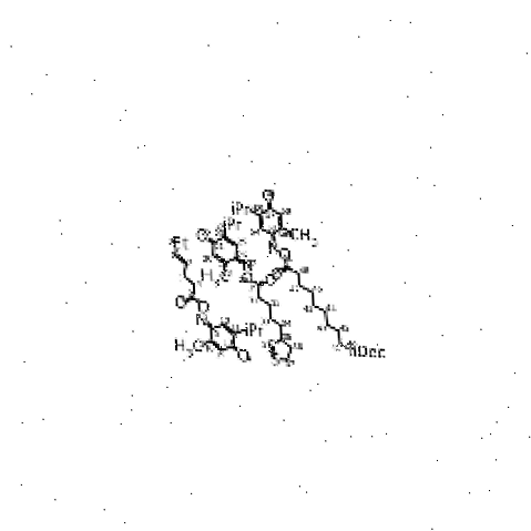 CC/C=C/CCC(=O)O/N=C1\C=C(C(C)C)C(=O)C=C1C.CC1=CC(=O)C(C(C)C)=C/C1=N/OC(=O)CCCCC1CCSS1.CCCCCCCCCCCCCCCCCCC(=O)O/N=C1/C=C(C(C)C)C(=O)C=C1C